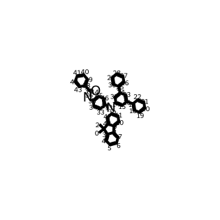 CC1(C)c2ccccc2-c2ccc(N(c3cc(-c4ccccc4)cc(-c4ccccc4)c3)c3ccc4nc(-c5ccccc5)oc4c3)cc21